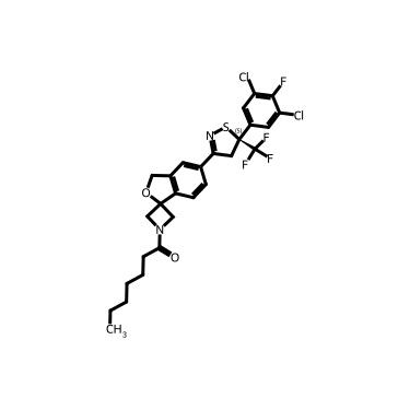 CCCCCCC(=O)N1CC2(C1)OCc1cc(C3=NS[C@@](c4cc(Cl)c(F)c(Cl)c4)(C(F)(F)F)C3)ccc12